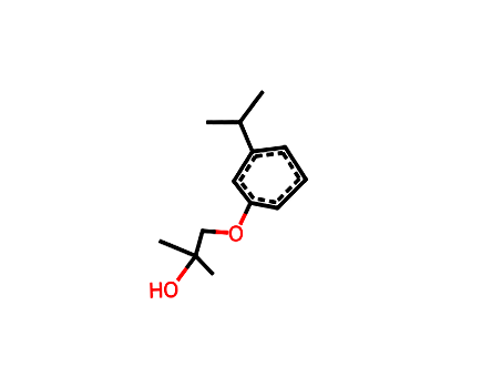 CC(C)c1cccc(OCC(C)(C)O)c1